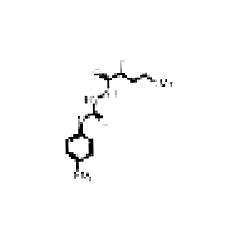 CSCC[C@H](C)C(=O)NNC(=O)Oc1ccc([N+](=O)[O-])cc1